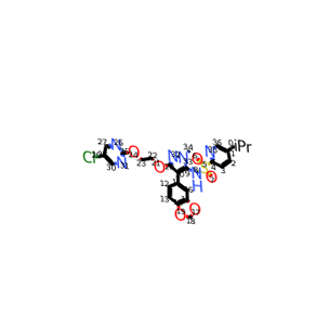 CC(C)c1ccc(S(=O)(=O)Nc2c(-c3ccc4c(c3)OCO4)c(OCCOc3ncc(Cl)cn3)nn2C)nc1